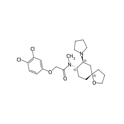 CN(C(=O)COc1ccc(Cl)c(Cl)c1)[C@H]1CC[C@]2(CCCO2)C[C@@H]1N1CCCC1